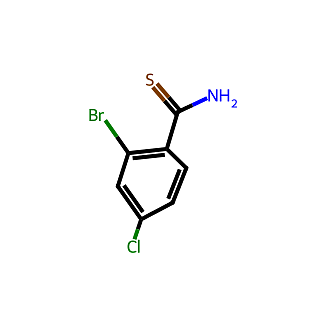 NC(=S)c1ccc(Cl)cc1Br